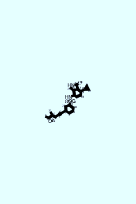 Cc1onc(C#Cc2cccc(S(=O)(=O)Nc3ccc(C4CC4)c4c3CNC4=O)c2)c1C